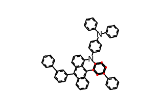 c1ccc(-c2cccc(-c3c4ccccc4c(-c4cccc(-c5ccccc5)c4)c4c(N(c5ccccc5)c5ccc(N(c6ccccc6)c6ccccc6)cc5)cccc34)c2)cc1